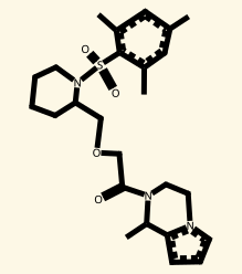 Cc1cc(C)c(S(=O)(=O)N2CCCCC2COCC(=O)N2CCn3cccc3C2C)c(C)c1